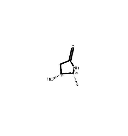 C[C@H]1NC(=O)C[C@H]1O